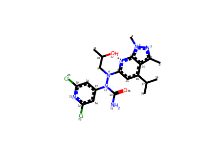 Cc1nn(C)c2nc(N(CC(C)O)N(C(N)=O)c3cc(Cl)nc(Cl)c3)cc(C(C)C)c12